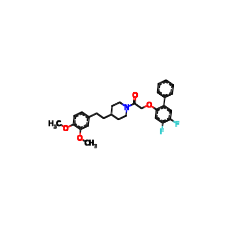 COc1ccc(CCC2CCN(C(=O)COc3cc(F)c(F)cc3-c3ccccc3)CC2)cc1OC